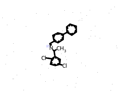 CC(/N=C\c1ccc(-c2ccccc2)cc1)c1cc(Cl)ccc1Cl